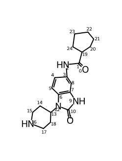 O=C(Nc1ccc2c(c1)[nH]c(=O)n2C1CCNCC1)C1CCCCC1